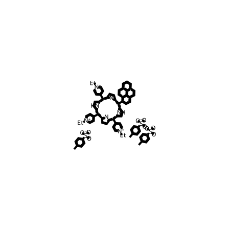 CC[n+]1ccc(-c2c3nc(c(-c4cc[n+](CC)cc4)c4ccc([nH]4)c(-c4ccc5ccc6cccc7ccc4c5c67)c4nc(c(-c5cc[n+](CC)cc5)c5ccc2[nH]5)C=C4)C=C3)cc1.Cc1ccc(S(=O)(=O)[O-])cc1.Cc1ccc(S(=O)(=O)[O-])cc1.Cc1ccc(S(=O)(=O)[O-])cc1